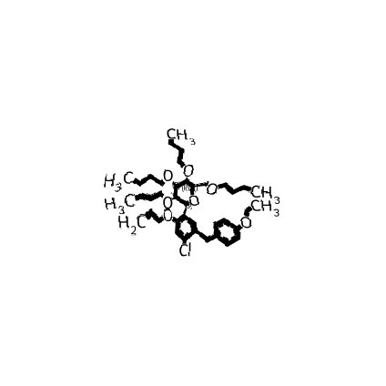 C=CCOc1cc(Cl)c(Cc2ccc(OCC)cc2)cc1[C@@H]1O[C@H](COCCCC)[C@@H](OCCCC)[C@H](OCCCC)[C@H]1OCCCC